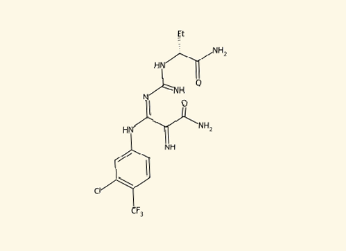 CC[C@@H](NC(=N)/N=C(/Nc1ccc(C(F)(F)F)c(Cl)c1)C(=N)C(N)=O)C(N)=O